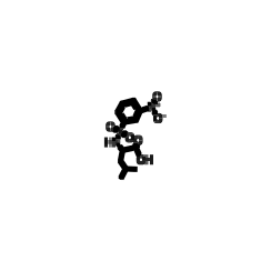 CC(C)CC(NS(=O)(=O)c1cccc([N+](=O)[O-])c1)C(=O)O